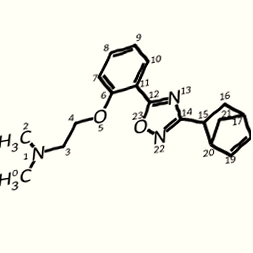 CN(C)CCOc1ccccc1-c1nc(C2CC3C=CC2C3)no1